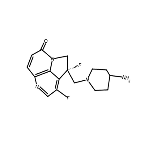 NC1CCN(C[C@]2(F)Cn3c(=O)ccc4ncc(F)c2c43)CC1